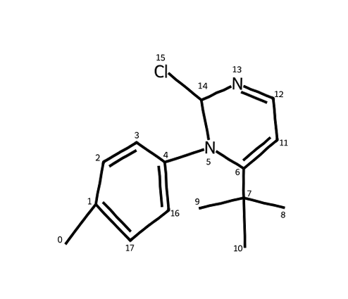 Cc1ccc(N2C(C(C)(C)C)=CC=NC2Cl)cc1